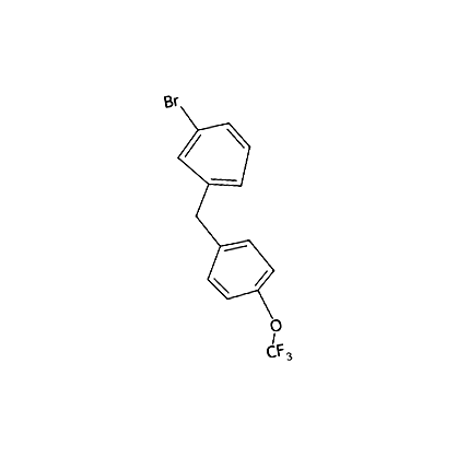 FC(F)(F)Oc1ccc(Cc2cccc(Br)c2)cc1